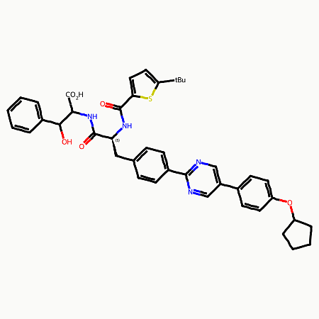 CC(C)(C)c1ccc(C(=O)N[C@@H](Cc2ccc(-c3ncc(-c4ccc(OC5CCCC5)cc4)cn3)cc2)C(=O)NC(C(=O)O)C(O)c2ccccc2)s1